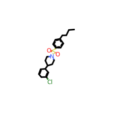 CCCCc1ccc(S(=O)(=O)N2CCC(C3C=CCC(Cl)=C3)CC2)cc1